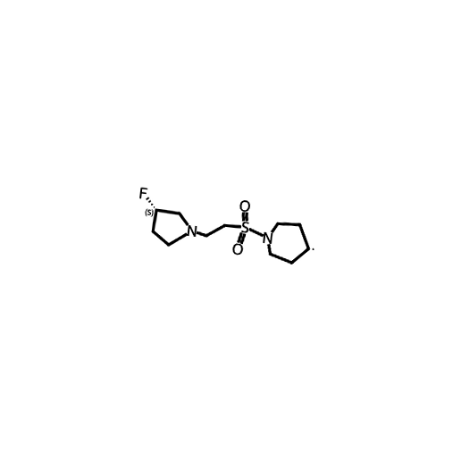 O=S(=O)(CCN1CC[C@H](F)C1)N1CC[CH]CC1